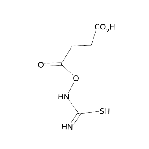 N=C(S)NOC(=O)CCC(=O)O